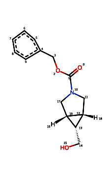 O=C(OCc1ccccc1)N1C[C@@H]2[C@H](CO)[C@@H]2C1